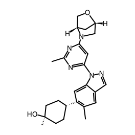 Cc1nc(N2C[C@@H]3C[C@H]2CO3)cc(-n2ncc3cc(C)c([C@H]4CC[C@](C)(O)CC4)cc32)n1